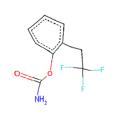 NC(=O)Oc1ccccc1CC(F)(F)F